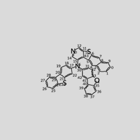 c1ccc2cc3c(cc2c1)sc1cncc(N(c2ccc4c(c2)sc2ccccc24)c2ccc4oc5ccccc5c4c2)c13